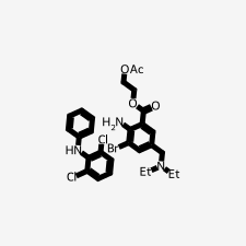 CCN(CC)Cc1cc(Br)c(N)c(C(=O)OCCOC(C)=O)c1.Clc1cccc(Cl)c1Nc1ccccc1